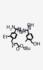 CCc1cc(/C(N)=N\O)ccc1CN(C)CC(=O)OC(C)(C)C.Cc1cc(/C(N)=N/O)ccc1CO